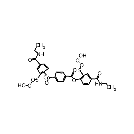 CCNC(=O)c1ccc(OC(=O)c2cc[c]([Co](=[O])[c]3ccc(C(=O)NCC)cc3SOOO)cc2)c(SOOO)c1